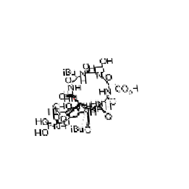 CCC(C)[C@@H]1NC(=O)[C@@H]2C[C@@H](O)CN2C(=O)[C@H](CC(=O)O)NC(=O)[C@@H]2CSc3[nH]c4cc(OC(=O)NP(O)O)c(NC=O)cc4c3C[C@H](NC1=O)C(=O)NCC(=O)N[C@@H]([C@@H](C)CC)C(=O)NCC(=O)N2